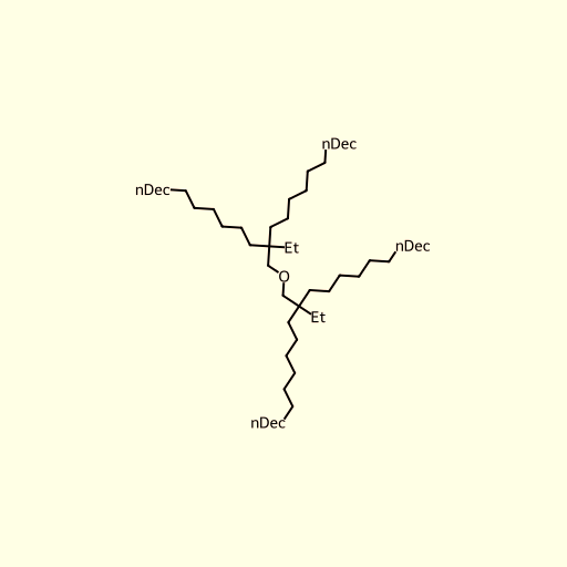 CCCCCCCCCCCCCCCCC(CC)(CCCCCCCCCCCCCCCC)COCC(CC)(CCCCCCCCCCCCCCCC)CCCCCCCCCCCCCCCC